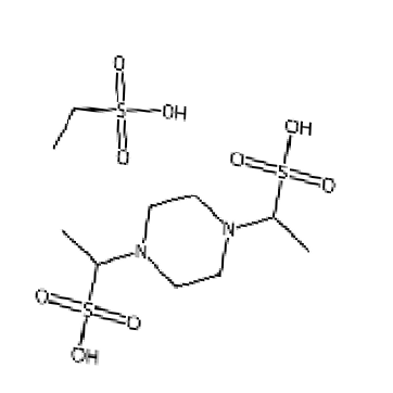 CC(N1CCN(C(C)S(=O)(=O)O)CC1)S(=O)(=O)O.CCS(=O)(=O)O